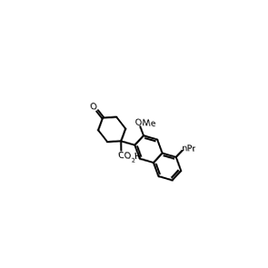 CCCc1cccc2cc(C3(C(=O)O)CCC(=O)CC3)c(OC)cc12